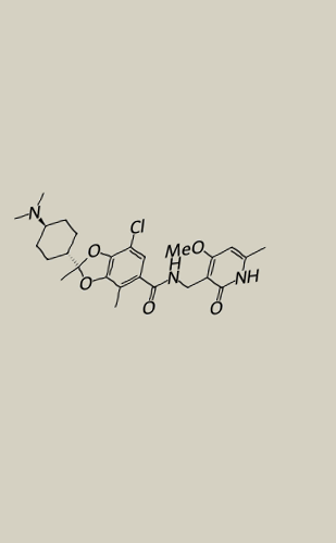 COc1cc(C)[nH]c(=O)c1CNC(=O)c1cc(Cl)c2c(c1C)OC(C)([C@H]1CC[C@H](N(C)C)CC1)O2